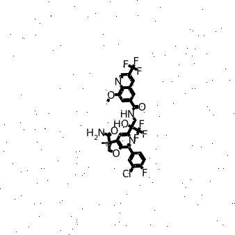 COc1cc(C(=O)NCC(O)(c2cc3c(c(-c4ccc(F)c(Cl)c4)n2)OC[C@]3(C)C(N)=O)C(F)(F)F)cc2cc(C(F)(F)F)cnc12